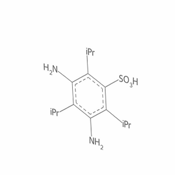 CC(C)c1c(N)c(C(C)C)c(S(=O)(=O)O)c(C(C)C)c1N